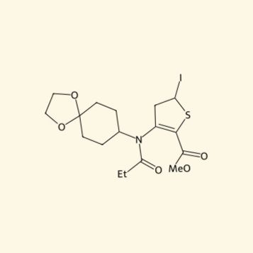 CCC(=O)N(C1=C(C(=O)OC)SC(I)C1)C1CCC2(CC1)OCCO2